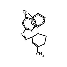 CC1=C[C@@]2(C=Nc3cc(Cl)ccc32)[C@H](c2cccc(Cl)c2)CC1